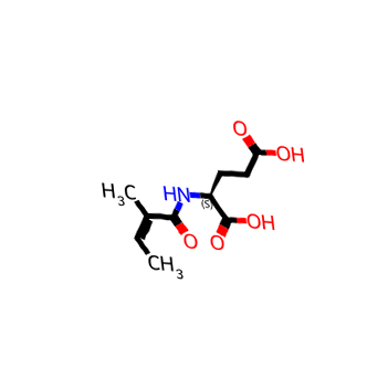 CC=C(C)C(=O)N[C@@H](CCC(=O)O)C(=O)O